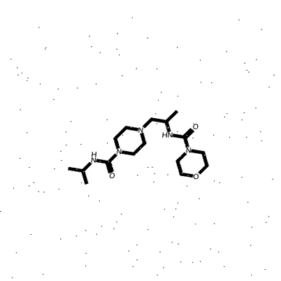 CC(C)NC(=O)N1CCN(CC(C)NC(=O)N2CCOCC2)CC1